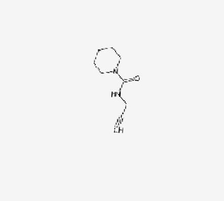 C#CCNC(=O)N1CCCCC1